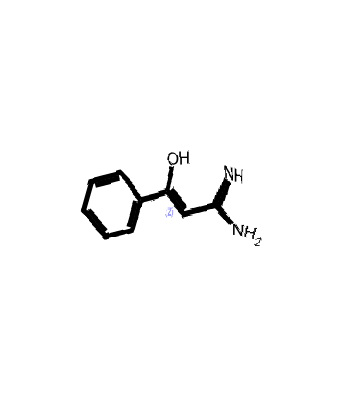 N=C(N)/C=C(\O)c1ccccc1